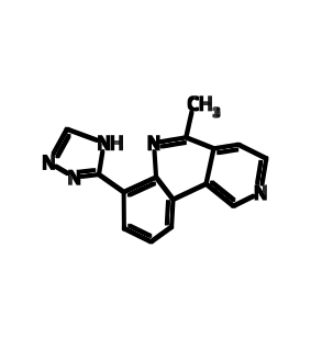 Cc1nc2c(-c3nnc[nH]3)cccc2c2cnccc12